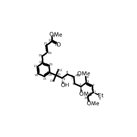 CC[C@H](/C=C(/C)[C@H](C[C@H](C[C@H](O)C(C)(C)c1cccc(C/C=C/C(=O)OC)c1)OC)OC)COC